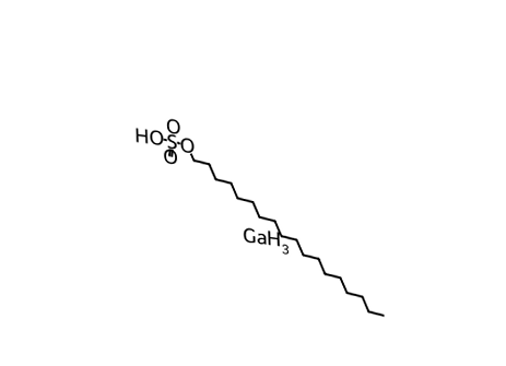 CCCCCCCCCCCCCCCCCCOS(=O)(=O)O.[GaH3]